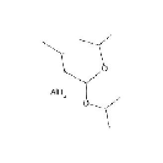 C[CH]CC(OC(C)C)OC(C)C.[AlH3]